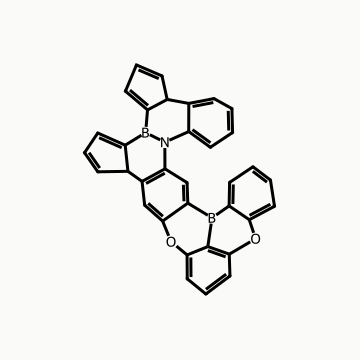 C1=CC2C(=C1)B1C3=CC=CC3c3cc4c(cc3N1c1ccccc12)B1c2ccccc2Oc2cccc(c21)O4